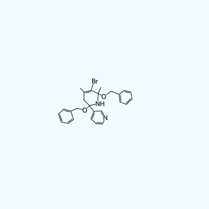 CC1=C(Br)C(C)(OCc2ccccc2)NC(OCc2ccccc2)(c2cccnc2)C1